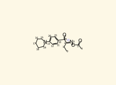 CC/C(=N\OC(C)=O)C(=O)c1ccc(N2CCCCC2)cc1